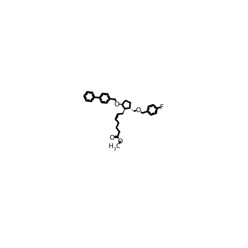 COC(=O)CCC/C=C\C[C@@H]1[C@@H](COCc2ccc(F)cc2)CC[C@@H]1OCc1ccc(-c2ccccc2)cc1